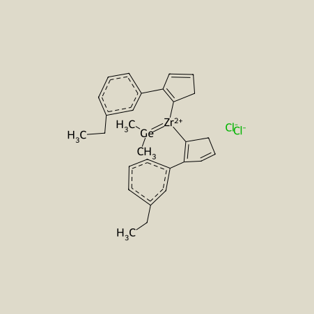 CCc1cccc(C2=[C]([Zr+2]([C]3=C(c4cccc(CC)c4)C=CC3)=[Ge]([CH3])[CH3])CC=C2)c1.[Cl-].[Cl-]